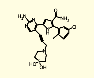 Cc1ccc(Cl)cc1-c1[nH]c(-c2nc(N)ncc2C#CCN2CCS(O)(O)CC2)cc1C(N)=O